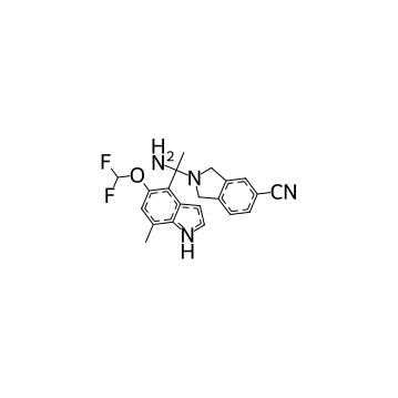 Cc1cc(OC(F)F)c(C(C)(N)N2Cc3ccc(C#N)cc3C2)c2cc[nH]c12